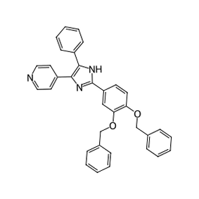 c1ccc(COc2ccc(-c3nc(-c4ccncc4)c(-c4ccccc4)[nH]3)cc2OCc2ccccc2)cc1